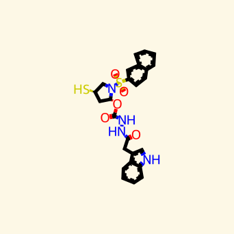 O=C(Cc1c[nH]c2ccccc12)NNC(=O)O[C@H]1C[C@@H](S)CN1S(=O)(=O)c1ccc2ccccc2c1